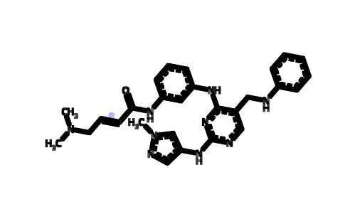 CN(C)C/C=C/C(=O)Nc1cccc(Nc2nc(Nc3cnn(C)c3)ncc2CNc2ccccc2)c1